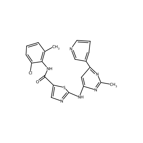 Cc1nc(Nc2ncc(C(=O)Nc3c(C)cccc3Cl)s2)cc(-c2cccnc2)n1